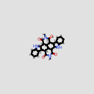 CN1C(=O)c2c3[nH]c4ccccc4c3c3c4c(c5[nH]c6ccccc6c5c(c24)C1=O)C(=O)N(C)C3=O